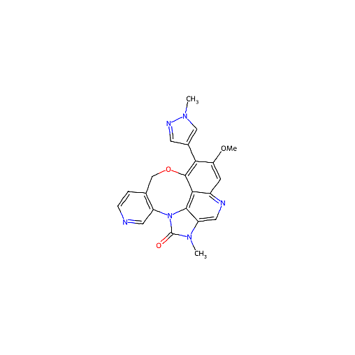 COc1cc2ncc3c4c2c(c1-c1cnn(C)c1)OCc1ccncc1-n4c(=O)n3C